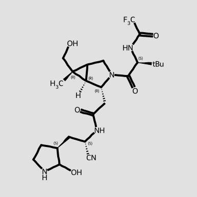 CC(C)(C)[C@H](NC(=O)C(F)(F)F)C(=O)N1CC2[C@@H]([C@H]1CC(=O)N[C@H](C#N)C[C@@H]1CCNC1O)[C@]2(C)CO